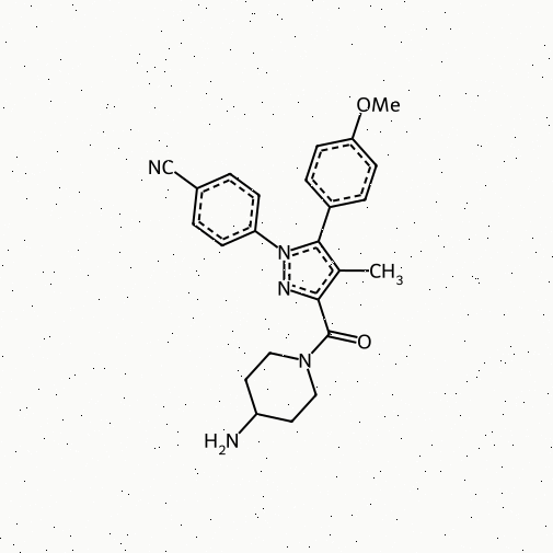 COc1ccc(-c2c(C)c(C(=O)N3CCC(N)CC3)nn2-c2ccc(C#N)cc2)cc1